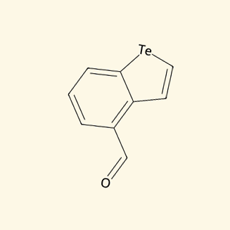 O=Cc1cccc2[te]ccc12